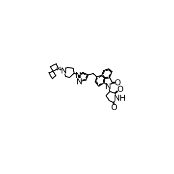 O=C1CCC(N2C(=O)c3cccc4c(Cc5cnn(C6CCN([C@@H]7CCC78CCC8)CC6)c5)ccc2c34)C(=O)N1